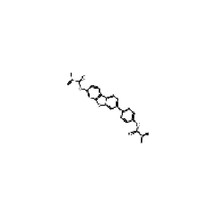 C=C(C)C(=O)Oc1ccc(-c2ccc3c(c2)sc2cc(OC(=O)C(=C)C)ccc23)cc1